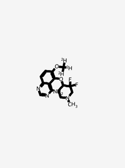 [2H]C([2H])([2H])Oc1ccc2ncnc(N)c2c1OC1CCN(C)CC1(F)F